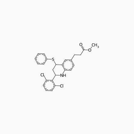 COC(=O)CCc1ccc2c(c1)C(Sc1ccccc1)CC(c1c(Cl)cccc1Cl)N2